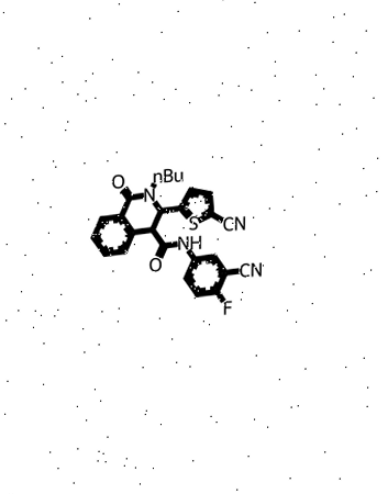 CCCCN1C(=O)c2ccccc2C(C(=O)Nc2ccc(F)c(C#N)c2)C1c1ccc(C#N)s1